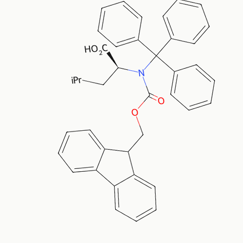 CC(C)C[C@@H](C(=O)O)N(C(=O)OCC1c2ccccc2-c2ccccc21)C(c1ccccc1)(c1ccccc1)c1ccccc1